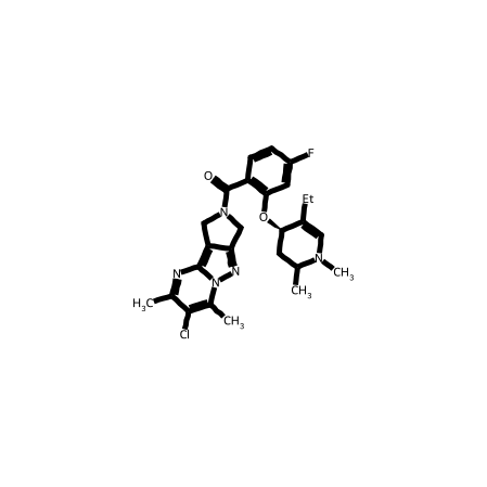 CCC1=CN(C)C(C)C[C@H]1Oc1cc(F)ccc1C(=O)N1Cc2nn3c(C)c(Cl)c(C)nc3c2C1